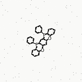 c1ccc(-p2c3ccccc3oc3cc4oc5ccccc5p(-c5ccccc5)c4cc32)cc1